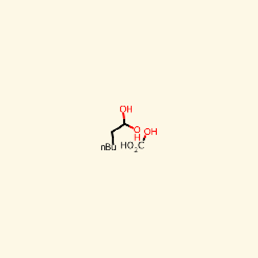 CCCCCC(O)O.O=C(O)O